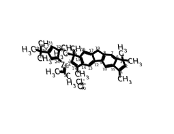 CC1=CC(C)(C)c2cc3c(cc21)-c1cc2c(cc1C3)C(C)(C)[C]([Zr+2]([C]1=CC(C(C)(C)C)=CC1C)=[C](C)C)=C2C.[Cl-].[Cl-]